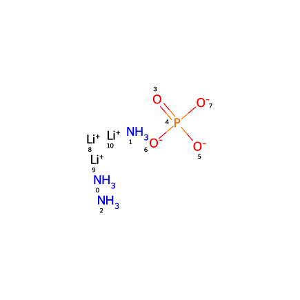 N.N.N.O=P([O-])([O-])[O-].[Li+].[Li+].[Li+]